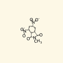 CN1C(=O)c2cc([N+](=O)[O-])cc([N+](=O)[O-])c2C1=O